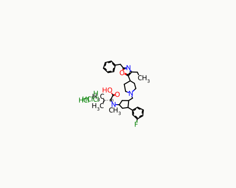 CCc1nc(Cc2ccccc2)oc1C1CCN(CC2CC(N(C)[C@@H](C(=O)O)C(C)C)CC2c2cccc(F)c2)CC1.Cl.Cl.Cl